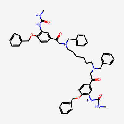 CNC(=O)Nc1cc(C(=O)CN(CCCCCCN(CC(=O)c2ccc(OCc3ccccc3)c(NC(=O)NC)c2)Cc2ccccc2)Cc2ccccc2)ccc1OCc1ccccc1